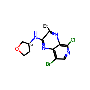 CCc1nc2c(Cl)ncc(Br)c2nc1N[C@H]1CCOC1